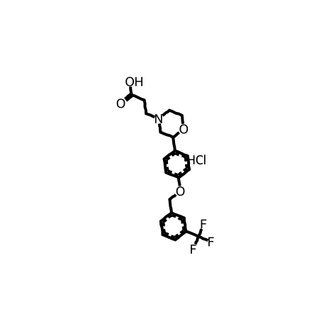 Cl.O=C(O)CCN1CCOC(c2ccc(OCc3cccc(C(F)(F)F)c3)cc2)C1